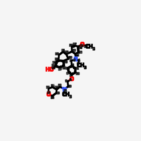 CCN(Cc1ccc(OCCN(C)CC2CCOCC2)cc1)C1C=C(OC)C=CC1[C@@H]1CCc2cc(O)ccc2C1